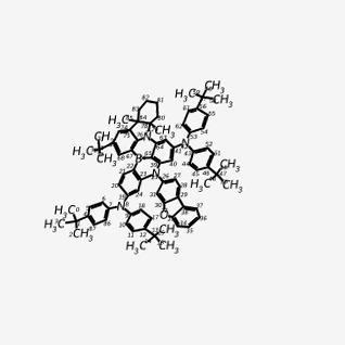 CC(C)(C)c1ccc(N(c2ccc(C(C)(C)C)cc2)c2ccc3c(c2)N(c2ccc4c(c2)oc2ccccc24)c2cc(N(c4ccc(C(C)(C)C)cc4)c4ccc(C(C)(C)C)cc4)cc4c2B3c2cc(C(C)(C)C)cc3c2N4C2(C)CCCCC32C)cc1